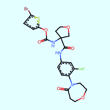 O=C(NC1(C(=O)Nc2ccc(N3CCOCCC3=O)c(F)c2)CCOC1)Oc1ccc(Br)s1